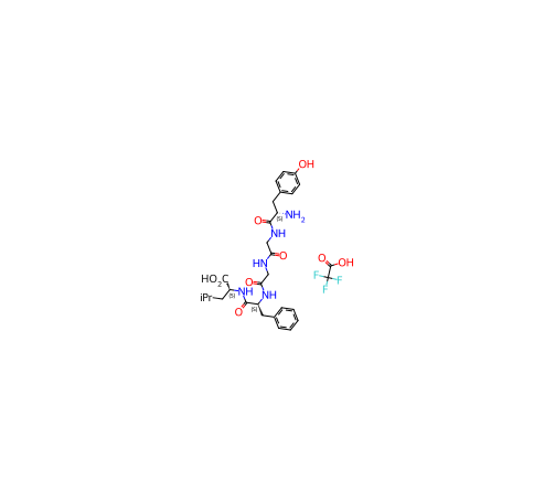 CC(C)C[C@H](NC(=O)[C@H](Cc1ccccc1)NC(=O)CNC(=O)CNC(=O)[C@@H](N)Cc1ccc(O)cc1)C(=O)O.O=C(O)C(F)(F)F